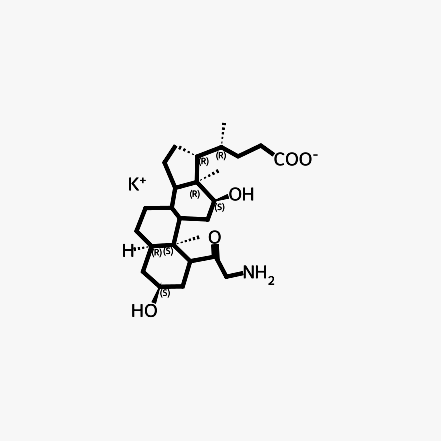 C[C@H](CCC(=O)[O-])[C@H]1CCC2C3CC[C@@H]4C[C@H](O)CC(C(=O)CN)[C@]4(C)C3C[C@H](O)[C@@]21C.[K+]